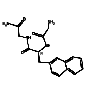 NCC(=O)N[C@@H](Cc1ccc2ccccc2c1)C(=O)NCC(N)=O